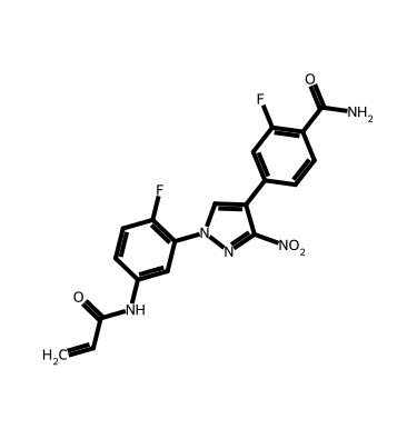 C=CC(=O)Nc1ccc(F)c(-n2cc(-c3ccc(C(N)=O)c(F)c3)c([N+](=O)[O-])n2)c1